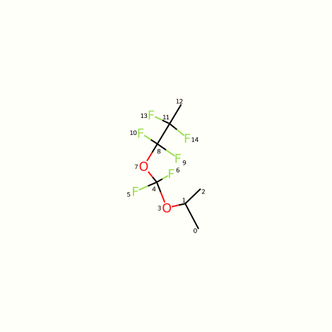 CC(C)OC(F)(F)OC(F)(F)C(C)(F)F